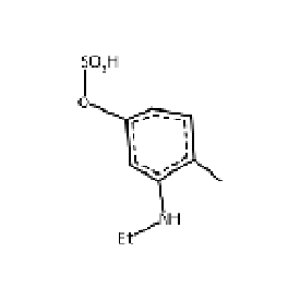 CCNc1cc(OS(=O)(=O)O)ccc1C